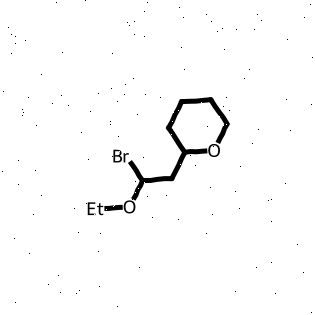 CCOC(Br)CC1CCCCO1